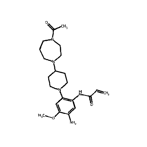 C=CC(=O)Nc1cc(N)c(OC)cc1N1CCC(N2CCCN(C(C)=O)CC2)CC1